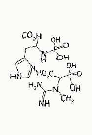 CN(C(=N)N)C(C(=O)O)P(=O)(O)O.O=C(O)C(Cc1c[nH]cn1)NP(=O)(O)O